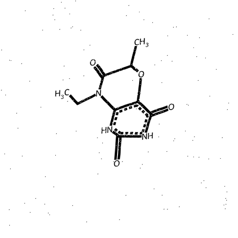 CCN1C(=O)C(C)Oc2c1[nH]c(=O)[nH]c2=O